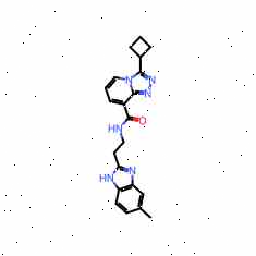 Cc1ccc2[nH]c(CCNC(=O)c3cccn4c(C5CCC5)nnc34)nc2c1